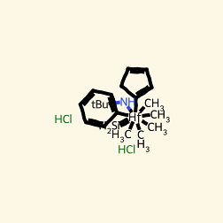 CC(C)(C)[NH][Hf]([CH3])([CH3])([CH3])([CH3])([CH3])(=[SiH2])([C]1=CC=CC1)[c]1ccccc1.Cl.Cl